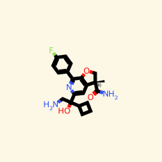 C[C@]1(C(N)=O)COc2c1cc(C(O)(CN)C1CCC1)nc2-c1ccc(F)cc1